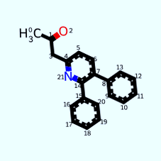 CC(=O)Cc1ccc(-c2ccccc2)c(-c2ccccc2)n1